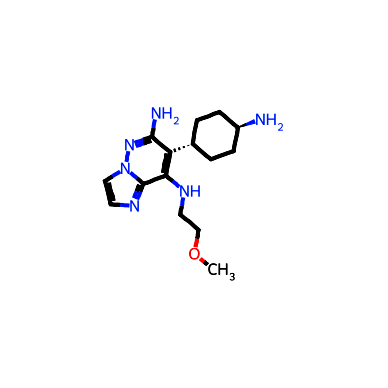 COCCNc1c2nccn2nc(N)c1[C@H]1CC[C@H](N)CC1